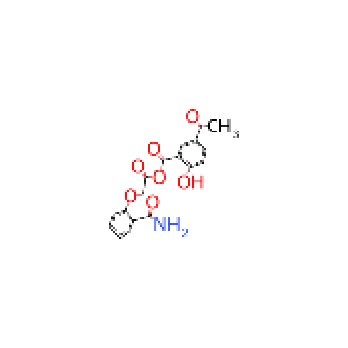 CC(=O)c1ccc(O)c(C(=O)OC(=O)COc2ccccc2C(N)=O)c1